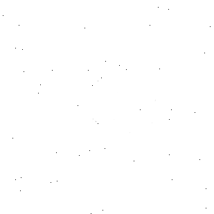 SC1=NC2=CC=CCC2S1